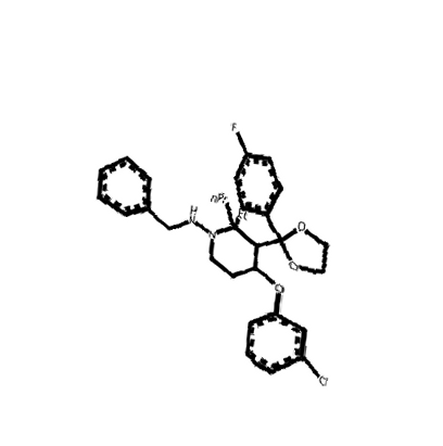 CCCC1(CC)C(C2(c3ccc(F)cc3)OCCO2)C(Oc2cccc(Cl)c2)CCN1NCc1ccccc1